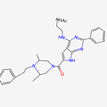 CC(=O)NCCNc1nc(-c2ccccc2)nc2[nH]c(C(=O)N3CC(C)N(CCc4ccccc4)C(C)C3)cc12